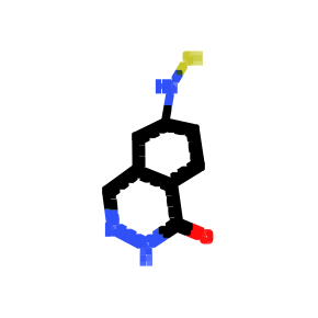 O=c1[nH]ncc2cc(NS)ccc12